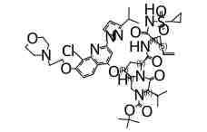 C=C[C@@H]1C[C@]1(NC(=O)[C@@H]1C[C@@H](Oc2cc(-n3ccc(C(C)C)n3)nc3c(Cl)c(OCCN4CCOCC4)ccc23)[C@H]2CN(C(=O)OC(C)(C)C)[C@H](C(C)C)C(=O)N21)C(=O)NS(=O)(=O)C1CC1